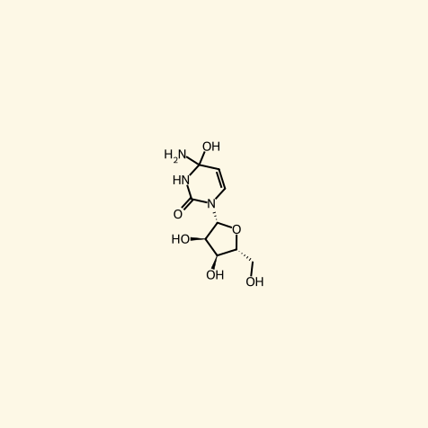 NC1(O)C=CN([C@@H]2O[C@H](CO)[C@@H](O)[C@H]2O)C(=O)N1